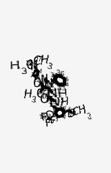 COCc1ccc(OC(F)(F)F)c(CNC(=O)Nc2c(C)c(OC3CC(N(C)C)C3)nn2-c2ccccc2)c1